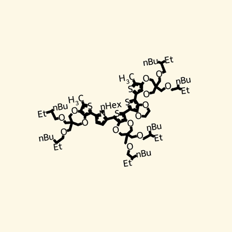 CCCCCCn1c(-c2sc(C)c3c2OCC(COCC(CC)CCCC)(COCC(CC)CCCC)CO3)ccc1-c1sc(-c2sc(-c3sc(C)c4c3OCC(COCC(CC)CCCC)(COCC(CC)CCCC)CO4)c3c2OCCO3)c2c1OCC(COCC(CC)CCCC)(COCC(CC)CCCC)CO2